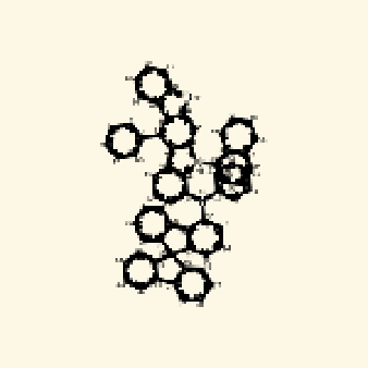 c1ccc(-c2c3c(cc4c2c2cccc(N(c5ccccc5)c5cccc6c5-c5ccccc5C65c6ccccc6-c6ccccc65)c2n4-c2cccc4ccccc24)oc2ccccc23)cc1